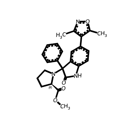 COC(=O)[C@H]1CCCN1C1(c2ccccc2)C(=O)Nc2ccc(-c3c(C)noc3C)cc21